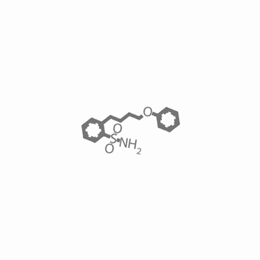 NS(=O)(=O)c1ccccc1CCCCOc1ccccc1